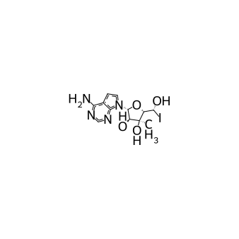 C[C@@]1(O)[C@@H]([C@H](O)I)O[C@@H](n2ccc3c(N)ncnc32)[C@@H]1O